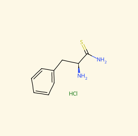 Cl.NC(=S)[C@@H](N)Cc1ccccc1